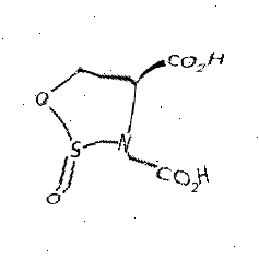 O=C(O)[C@@H]1COS(=O)N1C(=O)O